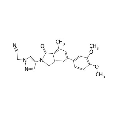 COc1ccc(-c2cc(C)c3c(c2)CN(c2cnn(CC#N)c2)C3=O)cc1OC